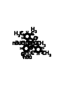 CCCCOc1ccc(OP(=O)(C(=O)c2c(C)cc(C)cc2C)C(=O)c2c(C)cc(C)cc2C)c(OCCCC)c1